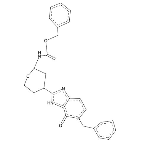 O=C(NC1CCCC(c2nc3ccn(Cc4ccccc4)c(=O)c3[nH]2)C1)OCc1ccccc1